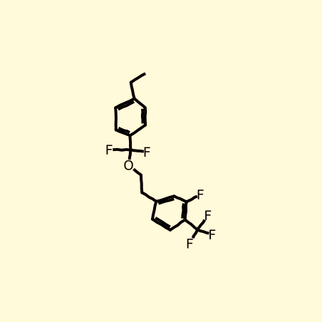 CCc1ccc(C(F)(F)OCCc2ccc(C(F)(F)F)c(F)c2)cc1